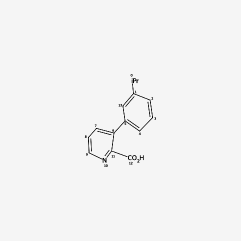 CC(C)c1cccc(-c2cccnc2C(=O)O)c1